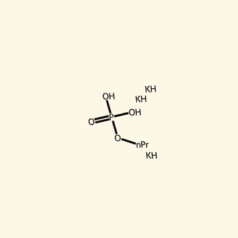 CCCOP(=O)(O)O.[KH].[KH].[KH]